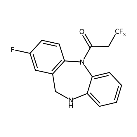 O=C(CC(F)(F)F)N1c2ccc(F)cc2CNc2ccccc21